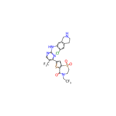 O=C1c2sc(-c3nc(Nc4cc5c(cc4Cl)CCNC5)ncc3C(F)(F)F)cc2S(=O)(=O)CCN1CC(F)(F)F